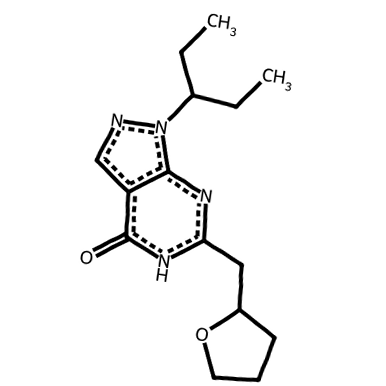 CCC(CC)n1ncc2c(=O)[nH]c(CC3CCCO3)nc21